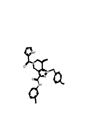 Cc1ccc(Cn2nc(C(=O)Nc3cccc(C)c3)c3c2C(C)CN(C(=O)c2ccc[nH]2)C3)cc1